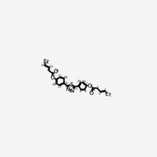 CCC=CCC(=O)Oc1ccc(-c2nnc(-c3ccc(OC(=O)CC=CCC)cc3)s2)cc1